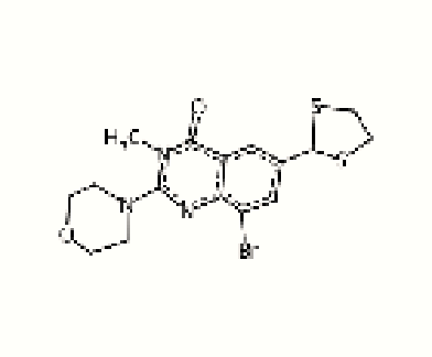 Cn1c(N2CCOCC2)nc2c(Br)cc(C3SCCS3)cc2c1=O